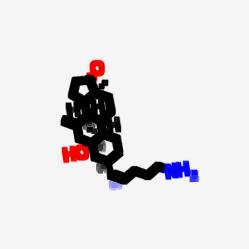 C=C1C[C@@]2(O)C[C@H](/C=C\CCCN)CC[C@]2(C)[C@H]2CC[C@]3(C)C(=O)CC[C@H]3[C@H]12